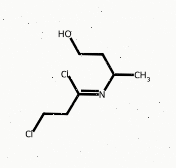 CC(CCO)N=C(Cl)CCCl